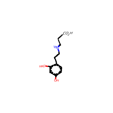 O=C(O)CCNCCc1ccc(O)cc1O